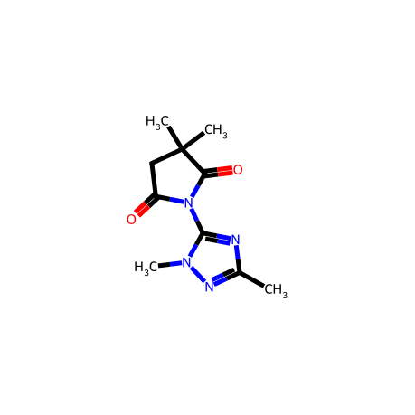 Cc1nc(N2C(=O)CC(C)(C)C2=O)n(C)n1